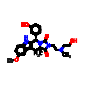 CCOc1ccc2[nH]c3c(c2c1)C[C@@]1(C)C(=O)N(CCN(C)CCO)C(=O)N1[C@@H]3c1cccc(O)c1